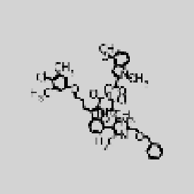 COc1cccc2c1cc(C(=O)ON1C(=O)c3c(CCCOc4cc(C)c(Cl)c(C)c4)c4cccc(-c5c(C)nc(COCc6ccccc6)nc5C)c4n3C(C)[C@H]1Cl)n2C